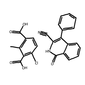 Cc1c(C(=O)O)ccc(Cl)c1C(=O)O.N#Cc1[nH]c(=O)c2ccccc2c1-c1ccccc1